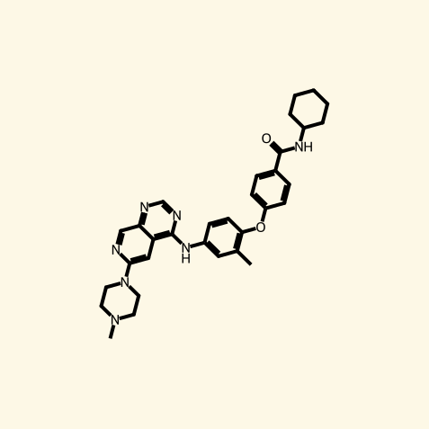 Cc1cc(Nc2ncnc3cnc(N4CCN(C)CC4)cc23)ccc1Oc1ccc(C(=O)NC2CCCCC2)cc1